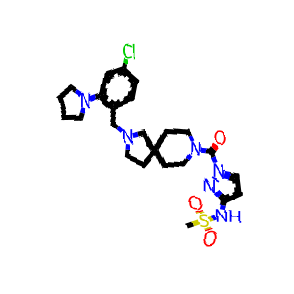 CS(=O)(=O)Nc1ccn(C(=O)N2CCC3(CCN(Cc4ccc(Cl)cc4N4CCCC4)C3)CC2)n1